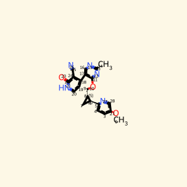 COc1ccc([C@H]2C[C@@H]2COc2nc(C)ncc2-c2cc[nH]c(=O)c2C#N)nc1